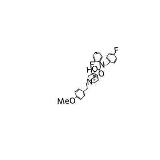 COc1ccc(CC[N+]23CCC(CC2)[C@@H](OC(=O)N(Cc2ccc(F)cc2)c2ccccc2F)C3)cc1